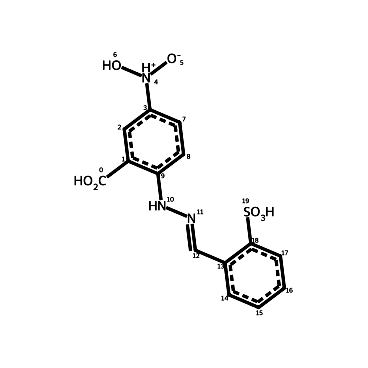 O=C(O)c1cc([NH+]([O-])O)ccc1N/N=C/c1ccccc1S(=O)(=O)O